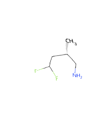 C[C@H](CN)CC(F)F